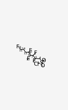 O=S(=O)(Cl)CC(F)C(F)C(F)C(F)CCCF